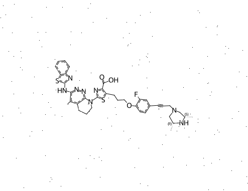 Cc1c(Nc2nc3ccccc3s2)nnc2c1CCCN2c1nc(C(=O)O)c(CCCOc2ccc(C#CCN3C[C@@H](C)N[C@@H](C)C3)cc2F)s1